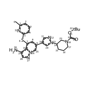 Cc1cccc(Sc2cc(-c3cnn(C4CCCN(C(=O)OC(C)(C)C)C4)c3)cn3ncc(N)c23)n1